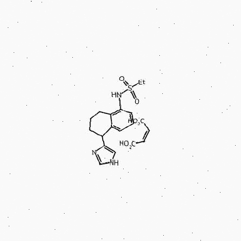 CCS(=O)(=O)Nc1cccc2c1CCCC2c1c[nH]cn1.O=C(O)/C=C\C(=O)O